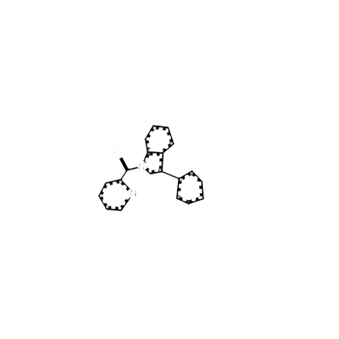 O=C(c1ccccn1)n1cc(-c2ccccc2)c2ccccc21